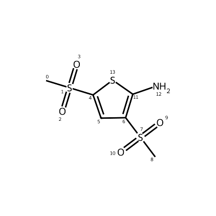 CS(=O)(=O)c1cc(S(C)(=O)=O)c(N)s1